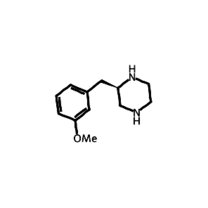 COc1cccc(C[C@@H]2CNCCN2)c1